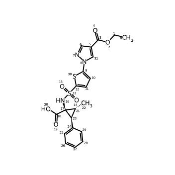 CCOC(=O)c1cnn(-c2ccc(S(=O)(=O)N[C@@]3(C(=O)O)[C@H](C)[C@H]3c3ccccc3)s2)c1